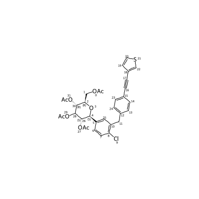 CC(=O)OC[C@H]1O[C@@H](c2ccc(Cl)c(Cc3ccc(C#Cc4ccsc4)cc3)c2)[C@H](OC(C)=O)C(OC(C)=O)[C@@H]1OC(C)=O